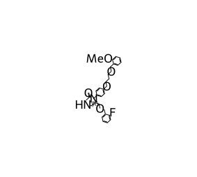 COc1ccccc1COCCCOc1ccc(N2C(=O)CNC[C@@H]2COCc2ccccc2F)cc1